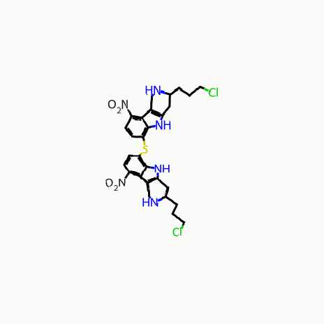 O=[N+]([O-])c1ccc(Sc2ccc([N+](=O)[O-])c3c4c([nH]c23)CC(CCCCl)NC4)c2[nH]c3c(c12)CNC(CCCCl)C3